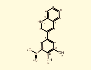 O=[N+]([O-])c1cc(C2=Cc3ccccc3NC2)cc(O)c1O